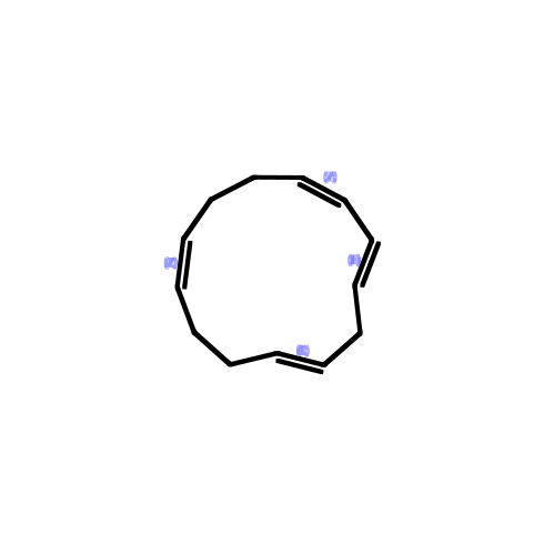 C1=C\CC/C=C\CC/C=C/C/C=C/1